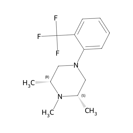 C[C@@H]1CN(c2ccccc2C(F)(F)F)C[C@H](C)N1C